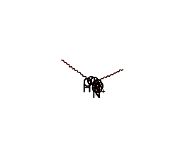 CCCCCCCCCCCCCCCCCCCCC(=O)OC[C@H](COP(=O)(O)OCC[N+](C)(C)C)OC(=O)CCCCCCCCCCCCCCCCC